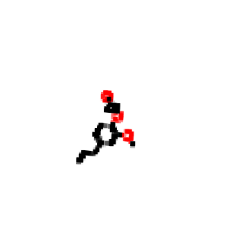 C=CCc1ccc([O][Zn]=[O])c(OC)c1